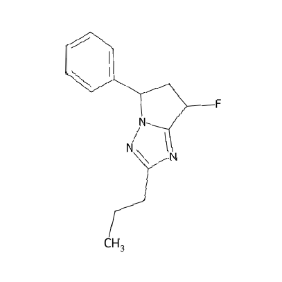 CCCc1nc2n(n1)C(c1ccccc1)CC2F